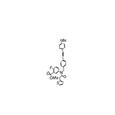 CCCCc1ccc(C#Cc2ccc(CN(C(=O)Cc3cccs3)c3ccc(F)c(C(=O)OC)c3)cc2)cc1